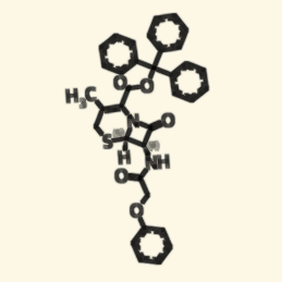 CC1=C(C(=O)OC(c2ccccc2)(c2ccccc2)c2ccccc2)N2C(=O)[C@@H](NC(=O)COc3ccccc3)[C@@H]2SC1